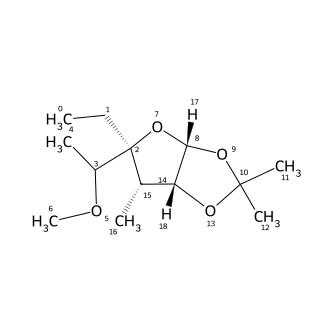 CC[C@]1(C(C)OC)O[C@@H]2OC(C)(C)O[C@@H]2[C@@H]1C